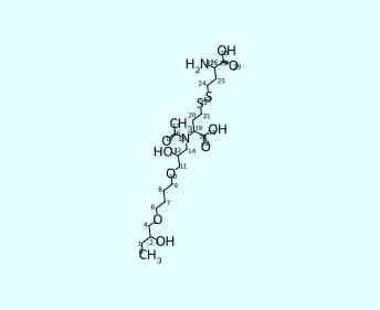 CCC(O)COCCCCOCC(O)CN(C(C)=O)C(CCSSCCC(N)C(=O)O)C(=O)O